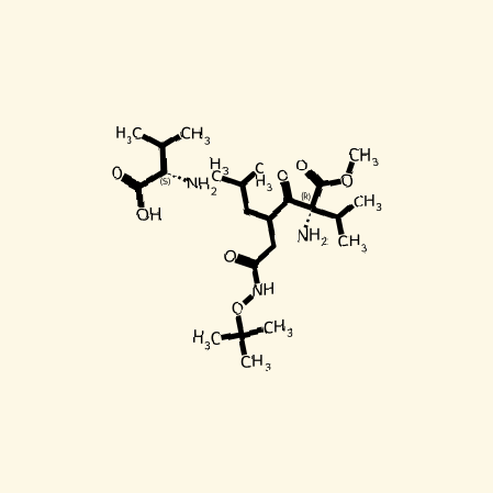 CC(C)[C@H](N)C(=O)O.COC(=O)[C@](N)(C(=O)C(CC(=O)NOC(C)(C)C)CC(C)C)C(C)C